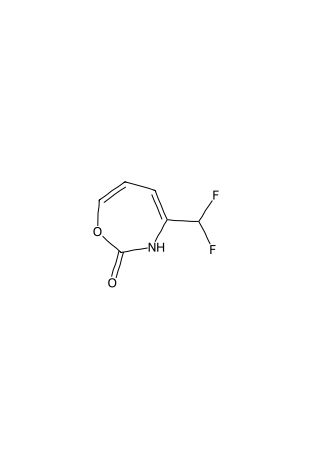 O=C1NC(C(F)F)=CC=CO1